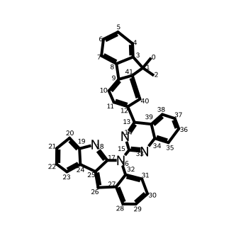 CC1(C)c2ccccc2-c2ccc(-c3nc(-n4c5nc6ccccc6c-5cc5ccccc54)nc4ccccc34)cc21